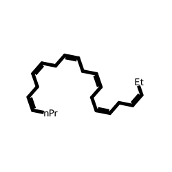 [CH2]CC/C=C\C/C=C\C/C=C\C/C=C\C/C=C\C/C=C\CC